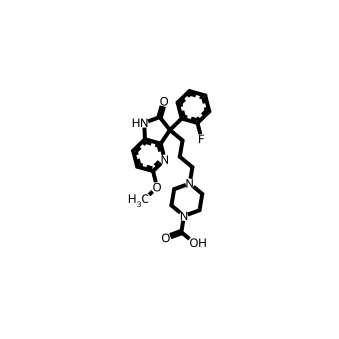 COc1ccc2c(n1)C(CCCN1CCN(C(=O)O)CC1)(c1ccccc1F)C(=O)N2